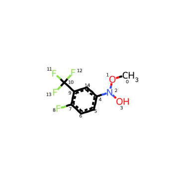 CON(O)c1ccc(F)c(C(F)(F)F)c1